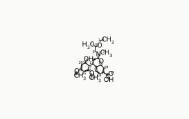 CCO[C@H](C)CN(C)C(=O)CC(C1C=CC(C(=O)O)=CC1)C1C(OC)=CC(OC)=CC1O